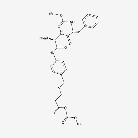 CCCCC[C@@H](NC(=O)[C@H](Cc1ccccc1)NC(=O)OC(C)(C)C)C(=O)Nc1ccc(CSCCC(=O)OC(=O)OC(C)(C)C)cc1